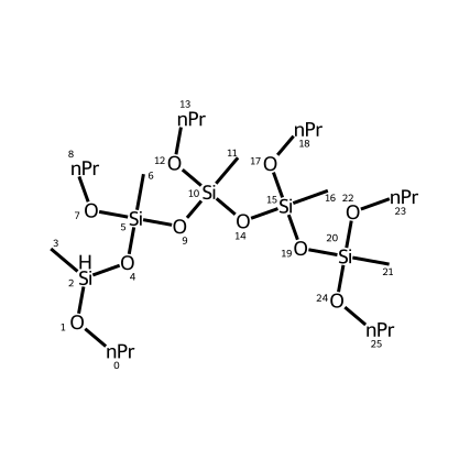 CCCO[SiH](C)O[Si](C)(OCCC)O[Si](C)(OCCC)O[Si](C)(OCCC)O[Si](C)(OCCC)OCCC